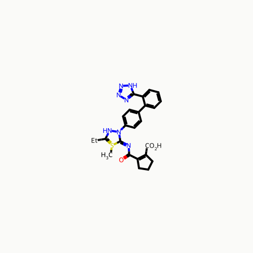 CCC1=S(C)C(=NC(=O)C2=C(C(=O)O)CCC2)N(c2ccc(-c3ccccc3-c3nnn[nH]3)cc2)N1